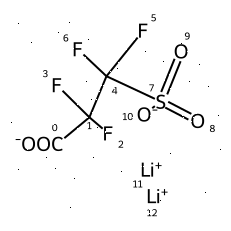 O=C([O-])C(F)(F)C(F)(F)S(=O)(=O)[O-].[Li+].[Li+]